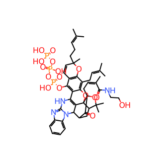 CC(C)=CCCC1(C)C=Cc2c(c(CC=C(C)C)c3c(c2OP(=O)(O)OP(=O)(O)OP(=O)(O)O)C2=C4C(C5CC6C(C)(C)OC(C/C=C(/C)C(=O)NCCO)(C5=O)C46O3)n3c(nc4ccccc43)N2)O1